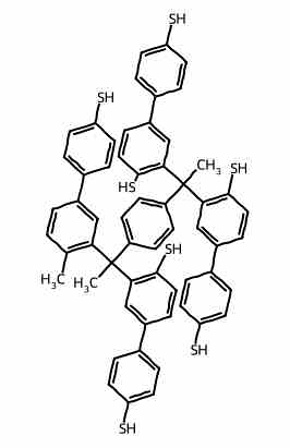 Cc1ccc(-c2ccc(S)cc2)cc1C(C)(c1ccc(C(C)(c2cc(-c3ccc(S)cc3)ccc2S)c2cc(-c3ccc(S)cc3)ccc2S)cc1)c1cc(-c2ccc(S)cc2)ccc1S